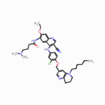 CCCCCCN1CCCc2ncc(COc3ccc(Nc4c(C#N)cnc5cc(OCC)c(NC(=O)CCCN(C)C)cc45)cc3Cl)cc21